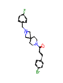 O=C(C=Cc1ccc(Br)cc1)N1CCC2(CC1)CN(Cc1ccc(F)cc1)C2